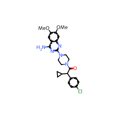 COc1cc2nc(N3CCN(C(=O)C(c4ccc(Cl)cc4)C4CC4)CC3)nc(N)c2cc1OC